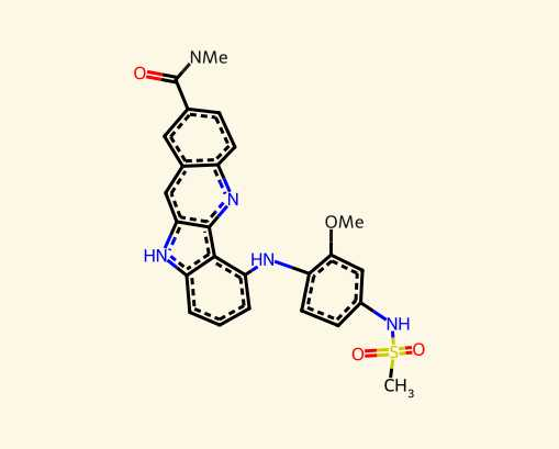 CNC(=O)c1ccc2nc3c(cc2c1)[nH]c1cccc(Nc2ccc(NS(C)(=O)=O)cc2OC)c13